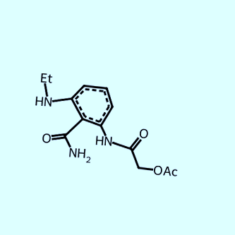 CCNc1cccc(NC(=O)COC(C)=O)c1C(N)=O